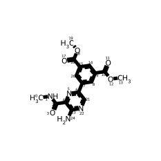 CNC(=O)c1nc(-c2cc(C(=O)OC)cc(C(=O)OC)c2)cnc1N